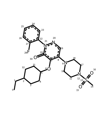 CCC1CCC(Oc2c(N3CCN(S(C)(=O)=O)CC3)cnn(-c3ccccc3F)c2=O)CC1